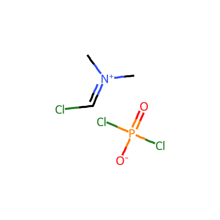 C[N+](C)=CCl.O=P([O-])(Cl)Cl